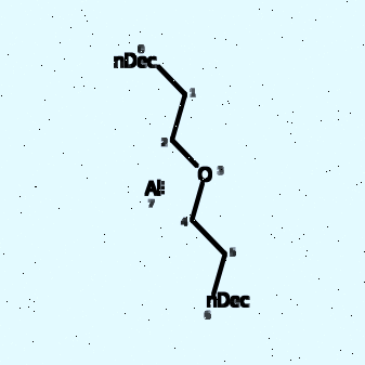 CCCCCCCCCCCCOCCCCCCCCCCCC.[Al]